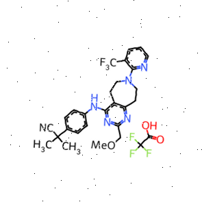 COCc1nc2c(c(Nc3ccc(C(C)(C)C#N)cc3)n1)CCN(c1ncccc1C(F)(F)F)CC2.O=C(O)C(F)(F)F